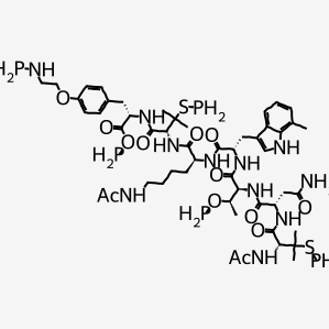 CC(=O)NCCCC[C@H](NC(=O)[C@H](Cc1c[nH]c2c(C)cccc12)NC(=O)[C@@H](NC(=O)[C@H](CC(N)=O)NC(=O)[C@@H](NC(C)=O)C(C)(C)SP)[C@@H](C)OP)C(=O)N[C@H](C(=O)N[C@@H](Cc1ccc(OCCNP)cc1)C(=O)OP)C(C)(C)SP